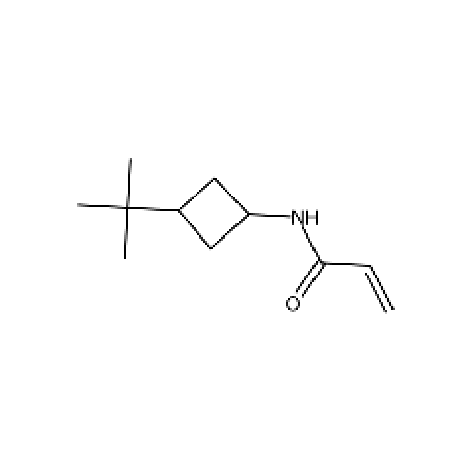 C=CC(=O)NC1CC(C(C)(C)C)C1